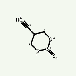 C#CC1COS(=S)SC1